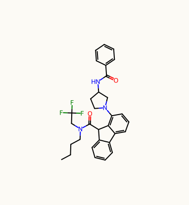 CCCCN(CC(F)(F)F)C(=O)C1c2ccccc2-c2cccc(N3CCC(NC(=O)c4ccccc4)C3)c21